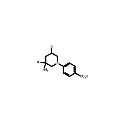 NC1(O)CC(Br)CN(c2ccc(C(=O)O)cc2)C1